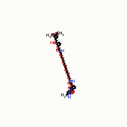 C=C1CCC(N2C(=O)c3cccc(OCC(=O)NCCOCCOCCOCCOCCOCCOCCOCCNC(=O)COc4cccc(C(O)CCc5ccc(OC)c(OC)c5)c4)c3C2=O)C(=O)N1